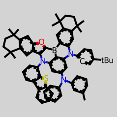 Cc1cccc(N(c2ccccc2)c2cc3c4c(c2)N(c2cccc5c2sc2ccccc25)c2c(oc5cc6c(cc25)C(C)(C)CCC6(C)C)B4c2cc4c(cc2N3c2ccc(C(C)(C)C)cc2)C(C)(C)CCC4(C)C)c1